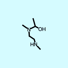 CNCCN(C)C(C)O